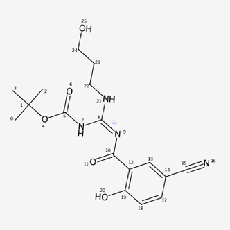 CC(C)(C)OC(=O)N/C(=N\C(=O)c1cc(C#N)ccc1O)NCCCO